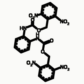 O=C(Nc1ccccc1NC(=O)OCc1c([N+](=O)[O-])cccc1[N+](=O)[O-])OCc1c([N+](=O)[O-])cccc1[N+](=O)[O-]